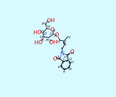 CC(=CCN1C(=O)c2ccccc2C1=O)CO[C@H]1O[C@H](CO)[C@@H](O)[C@H](O)[C@H]1O